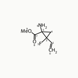 C=CC1(F)CC1(N)C(=O)OC